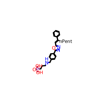 CCCCC/C(=C\c1nnc(-c2ccc(CNCCCP(=O)(O)O)cc2)o1)c1ccccc1